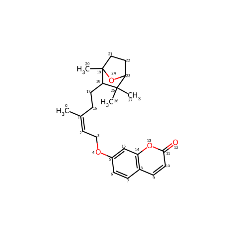 C/C(=C/COc1ccc2ccc(=O)oc2c1)CCC1C2(C)CCC(O2)C1(C)C